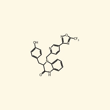 O=C1Nc2ccccc2N(Cc2ccc(-c3noc(C(F)(F)F)n3)cn2)C1Cc1ccc(O)cc1